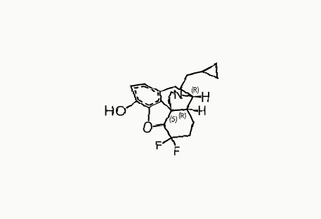 Oc1ccc2c3c1OC1C(F)(F)CC[C@H]4[C@@H](C2)N(CC2CC2)CC[C@]314